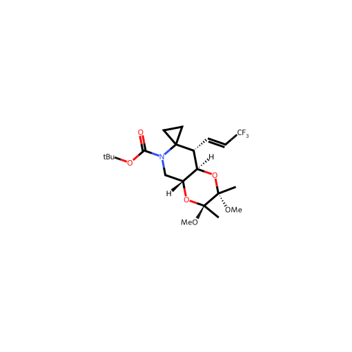 CO[C@@]1(C)O[C@@H]2[C@@H](/C=C/C(F)(F)F)C3(CC3)N(C(=O)OC(C)(C)C)C[C@H]2O[C@]1(C)OC